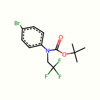 CC(C)(C)OC(=O)N(CC(F)(F)F)c1ccc(Br)cc1